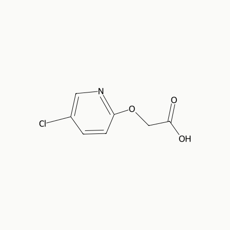 O=C(O)COc1ccc(Cl)cn1